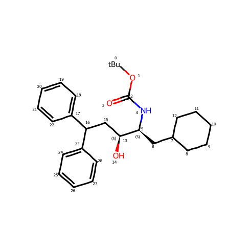 CC(C)(C)OC(=O)N[C@@H](CC1CCCCC1)[C@@H](O)CC(c1ccccc1)c1ccccc1